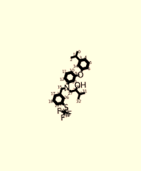 CC(C)c1cccc(Oc2cccc(N(Cc3cccc(SC(F)(F)F)c3)CC(O)C(C)C)c2)c1